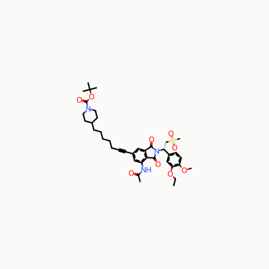 CCOc1cc([C@@H](CS(C)(=O)=O)N2C(=O)c3cc(C#CCCCCCC4CCN(C(=O)OC(C)(C)C)CC4)cc(NC(C)=O)c3C2=O)ccc1OC